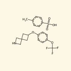 Cc1ccc(S(=O)(=O)O)cc1.FC(F)(F)Oc1ccc(OC2CC3(CNC3)C2)cc1